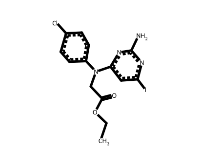 CCOC(=O)CN(c1ccc(Cl)cc1)c1cc(I)nc(N)n1